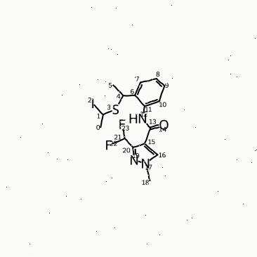 CC(I)SC(C)c1ccccc1NC(=O)c1cn(C)nc1C(F)F